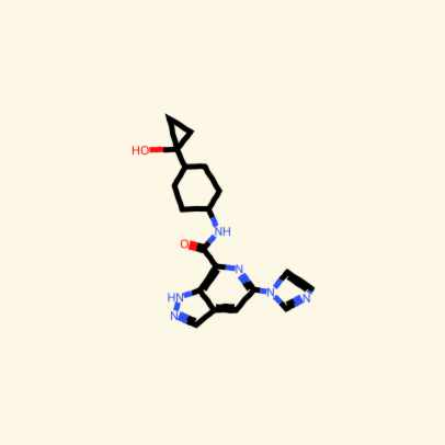 O=C(NC1CCC(C2(O)CC2)CC1)c1nc(-n2ccnc2)cc2cn[nH]c12